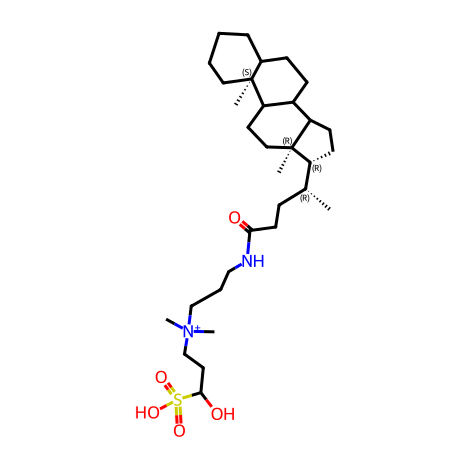 C[C@H](CCC(=O)NCCC[N+](C)(C)CCC(O)S(=O)(=O)O)[C@H]1CCC2C3CCC4CCCC[C@]4(C)C3CC[C@@]21C